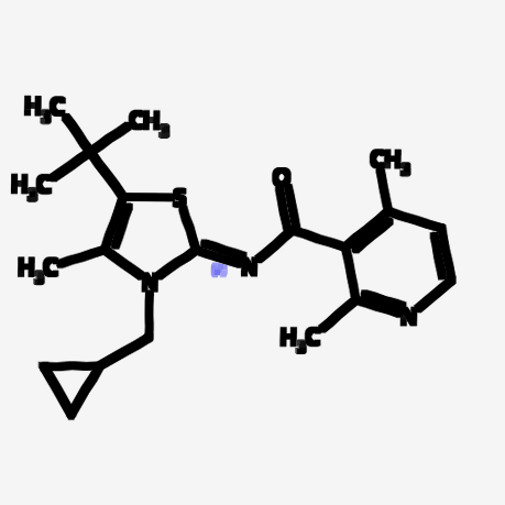 Cc1ccnc(C)c1C(=O)/N=c1\sc(C(C)(C)C)c(C)n1CC1CC1